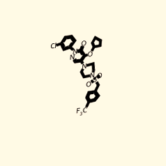 O=c1c(OC2CCCC2)c(N2CCN(S(=O)(=O)Cc3ccc(C(F)(F)F)cc3)CC2)cnn1-c1cccc(Cl)c1